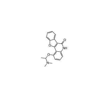 CC(Oc1cccc2[nH]c(=O)c3c4ccccc4oc3c12)N(C)C